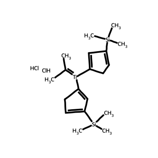 C[C](C)=[Ti]([C]1=CC([Si](C)(C)C)=CC1)[C]1=CC([Si](C)(C)C)=CC1.Cl.Cl